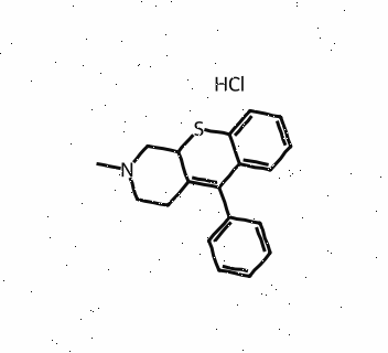 CN1CCC2=C(c3ccccc3)c3ccccc3SC2C1.Cl